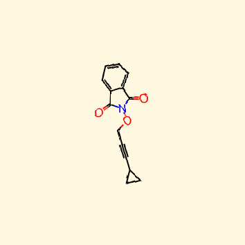 O=C1c2ccccc2C(=O)N1OCC#CC1CC1